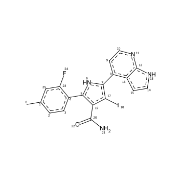 Cc1ccc(-c2[nH]c(-c3ccnc4[nH]ccc34)c(I)c2C(N)=O)c(F)c1